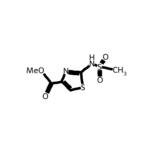 COC(=O)c1csc(NS(C)(=O)=O)n1